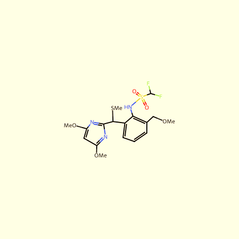 COCc1cccc(C(SC)c2nc(OC)cc(OC)n2)c1NS(=O)(=O)C(F)F